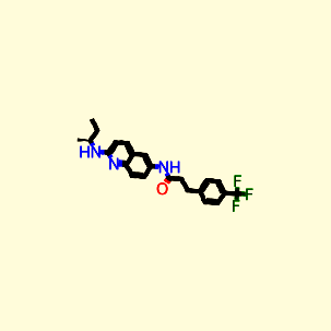 CC[C@H](C)Nc1ccc2cc(NC(=O)CCc3ccc(C(F)(F)F)cc3)ccc2n1